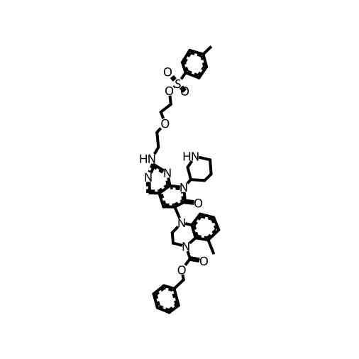 Cc1ccc(S(=O)(=O)OCCOCCNc2ncc3cc(N4CCN(C(=O)OCc5ccccc5)c5c(C)cccc54)c(=O)n(C4CCCNC4)c3n2)cc1